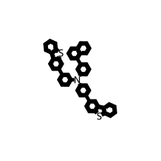 c1cc(-c2ccc3c(c2)sc2ccccc23)cc(N(c2ccc(-c3ccc4sc5ccccc5c4c3)cc2)c2cccc(-c3cccc4ccccc34)c2)c1